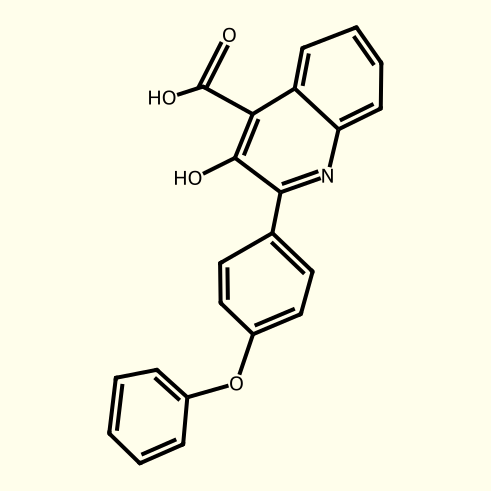 O=C(O)c1c(O)c(-c2ccc(Oc3ccccc3)cc2)nc2ccccc12